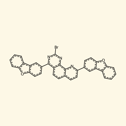 Brc1nc(-c2ccc3oc4ccccc4c3c2)c2ccc3ccc(-c4ccc5oc6ccccc6c5c4)nc3c2n1